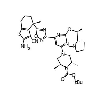 C[C@H](Oc1nc(-c2noc([C@@]3(C)CCCc4sc(N)c(C#N)c43)n2)cc(N2C[C@H](C)N(C(=O)OC(C)(C)C)[C@@H](C)C2)n1)[C@@H]1CCCN1C